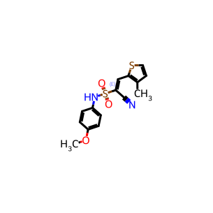 COc1ccc(NS(=O)(=O)/C(C#N)=C/c2sccc2C)cc1